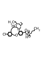 C=CCCS(=O)(=O)NC(=O)c1ccc2c(c1)N(C[C@@H]1CC[C@H]1[C@H](O)C=C)CCCCc1cc(Cl)ccc1CO2